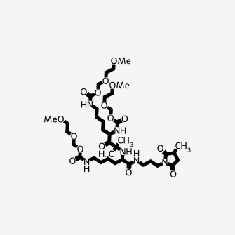 COCCOCOC(=O)NCCCCC(NC(C)(C)C(=O)C(CCCCNC(=O)OCOCCOC)NC(=O)OCOCCOC)C(=O)NCCCN1C(=O)CC(C)C1=O